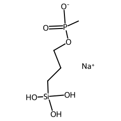 CP(=O)([O-])OCCC[Si](O)(O)O.[Na+]